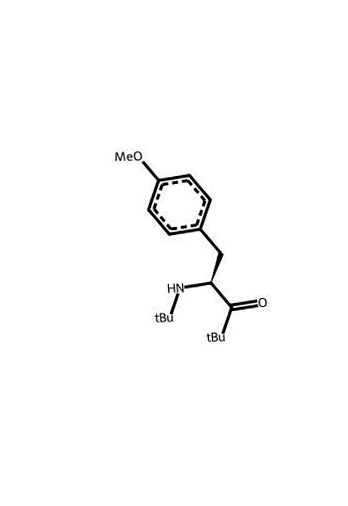 COc1ccc(C[C@H](NC(C)(C)C)C(=O)C(C)(C)C)cc1